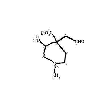 CCOC(=O)C1(CC=O)CCN(C)CC1O